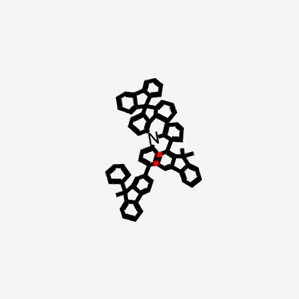 CC1(C)c2ccccc2-c2cccc(-c3ccccc3N(c3ccc(-c4ccc5c(c4)C(C)(c4ccccc4)c4ccccc4-5)cc3)c3cccc4c3-c3ccccc3C43c4ccccc4-c4ccccc43)c21